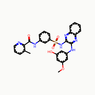 COc1cc(O)cc(Nc2nc3ccccc3nc2NS(=O)(=O)c2cccc(NC(=O)c3ncccc3C)c2)c1